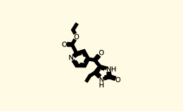 CCOC(=O)c1cc(C(=O)c2[nH]c(=O)[nH]c2CC)ccn1